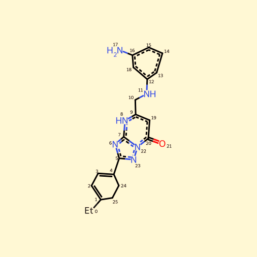 CCC1=CC=C(c2nc3[nH]c(CNc4cccc(N)c4)cc(=O)n3n2)CC1